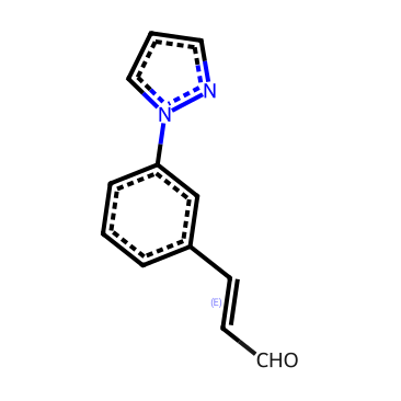 O=C/C=C/c1cccc(-n2cccn2)c1